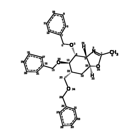 CC1=N[C@H]2[C@@H](OCc3ccccc3)[C@H](OCc3ccccc3)[C@@H](COCc3ccccc3)C[C@@H]2O1